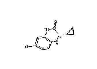 O=C1Nc2cc(Cl)ccc2N[C@H]1C1CC1